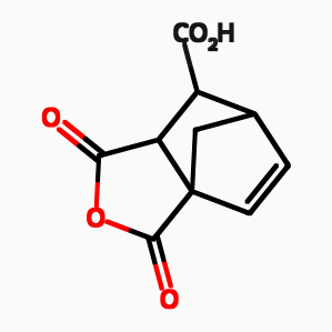 O=C(O)C1C2C=CC3(C2)C(=O)OC(=O)C13